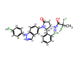 CC(F)(F)C(=O)N[C@H]1CC(=O)N(c2ccc3c(cnn3-c3ccc(F)cc3)c2)[C@@H]1c1ccccc1F